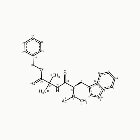 CC(=O)N(C)[C@H](Cc1c[nH]c2ccccc12)C(=O)NC(C)(C)C(=O)OCc1ccccc1